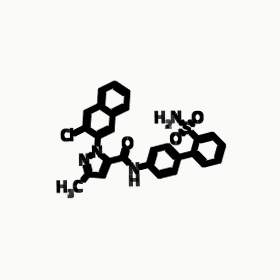 Cc1cc(C(=O)Nc2ccc(-c3ccccc3S(N)(=O)=O)cc2)n(-c2cc3ccccc3cc2Cl)n1